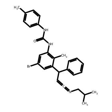 Cc1ccc(NC(=O)Nc2cc(Br)cc(C(C=C=NCC(C)C)c3ccccc3)c2C)cc1